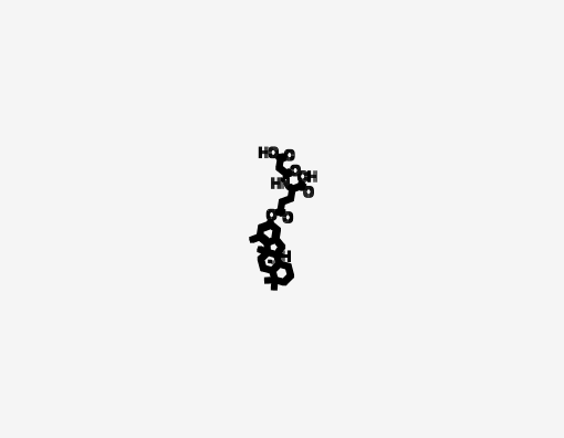 Cc1cc(OC(=O)CCC(NC(=O)CC(=O)O)C(=O)O)cc2c1C1(C)CCC3C(C)(C)CCC[C@]3(C)[C@H]1C2